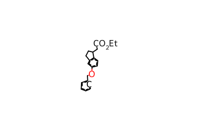 CCOC(=O)CC1CCc2cc(OCc3ccccc3)ccc21